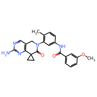 COc1cccc(C(=O)Nc2ccc(C)c(N3Cc4cnc(N)nc4C4(CC4)C3=O)c2)c1